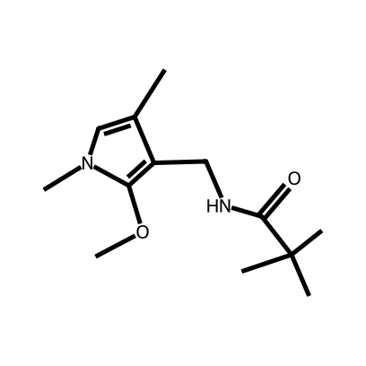 COc1c(CNC(=O)C(C)(C)C)c(C)cn1C